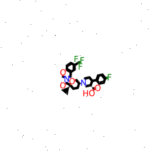 O=C(O)[C@@H]1CN([C@@H]2CC[C@@](C(=O)N3COc4ccc(C(F)(F)F)cc4C3)(C3CC3)OC2)CCC1c1ccc(F)cc1